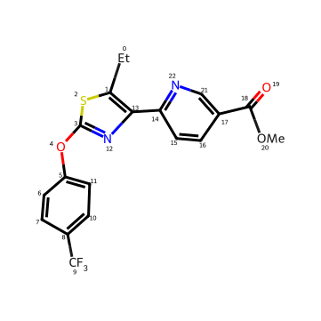 CCc1sc(Oc2ccc(C(F)(F)F)cc2)nc1-c1ccc(C(=O)OC)cn1